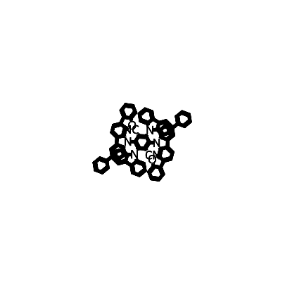 N#Cc1c(-n2c3ccccc3c3ccccc32)c(-n2c3ccc(-c4ccccc4)cc3c3ccc4c5ccccc5oc4c32)c(C#N)c(-n2c3ccccc3c3ccccc32)c1-n1c2ccc(-c3ccccc3)cc2c2ccc3c4ccccc4oc3c21